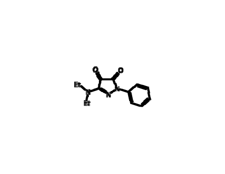 CCN(CC)C1=NN(c2ccccc2)C(=O)C1=O